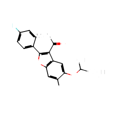 CNC(=O)c1c(-c2ccc(F)cc2)oc2cc(C)c(OC(C)C(=O)O)cc12